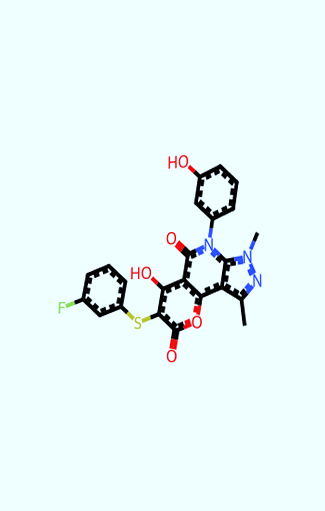 Cc1nn(C)c2c1c1oc(=O)c(Sc3cccc(F)c3)c(O)c1c(=O)n2-c1cccc(O)c1